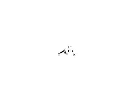 C[O-].[K+].[Li+].[OH-]